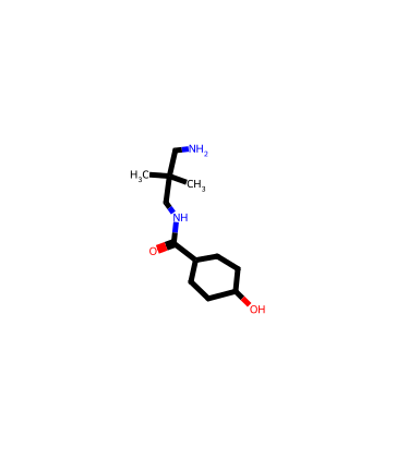 CC(C)(CN)CNC(=O)C1CCC(O)CC1